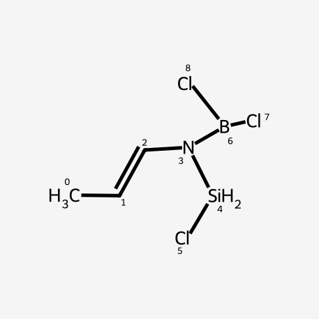 CC=CN([SiH2]Cl)B(Cl)Cl